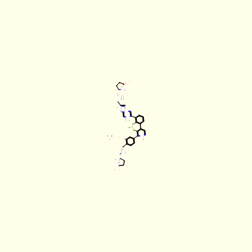 COc1cc(-c2nccc(-c3cccc(-c4cn5cc(CNC[C@H]6CCC(=O)N6)nc5cn4)c3Cl)c2Cl)ccc1CNC[C@H]1CCC(=O)N1